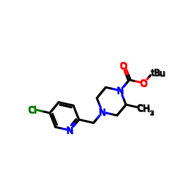 CC1CN(Cc2ccc(Cl)cn2)CCN1C(=O)OC(C)(C)C